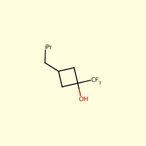 CC(C)CC1CC(O)(C(F)(F)F)C1